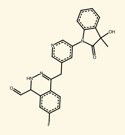 CC1(O)C(=O)N(c2cncc(CC3=NNC(C=O)c4cc(F)ccc43)c2)c2ccccc21